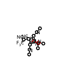 N#Cc1cc(-c2cc(-n3c4ccc(-c5ccc(-c6ccccc6)nc5)cc4c4cc(-c5ccc(-c6ccccc6)nc5)ccc43)c(-n3c4ccc(-c5ccc(-c6ccccc6)nc5)cc4c4cc(-c5cccc(-c6ccccc6)n5)ccc43)cc2C#N)cc(C(F)(F)F)c1